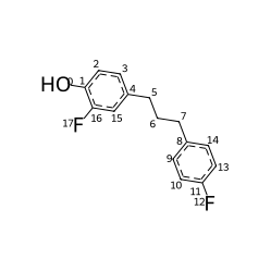 Oc1ccc(CCCc2ccc(F)cc2)cc1F